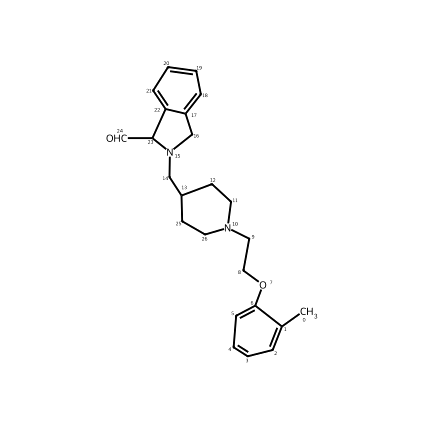 Cc1ccccc1OCCN1CCC(CN2Cc3ccccc3C2C=O)CC1